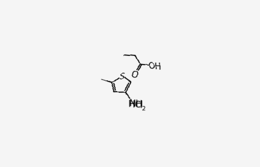 CCC(=O)O.Cc1cc(N)cs1.Cl